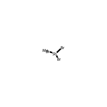 [Br][Sb]([Br])[Br].[Mo]